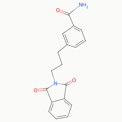 NC(=O)c1cccc(CCCN2C(=O)c3ccccc3C2=O)c1